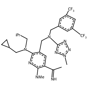 CNc1nc(N(CC(C)C)CC2CC2)c(CN(Cc2cc(C(F)(F)F)cc(C(F)(F)F)c2)c2nnn(C)n2)cc1C(C)=N